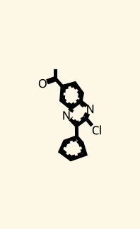 CC(=O)c1ccc2nc(Cl)c(-c3ccccc3)nc2c1